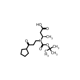 C[C@H](CC(=O)O)N(CCC(=O)C1CCCC1)C(=O)OC(C)(C)C